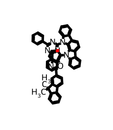 CC1(C)c2ccccc2-c2ccc(-c3nc4cccc(-n5c6ccccc6c6ccc7c8ccccc8n(-c8nc(-c9ccccc9)nc(-c9ccccc9)n8)c7c65)c4o3)cc21